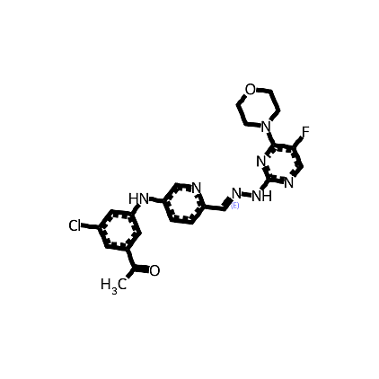 CC(=O)c1cc(Cl)cc(Nc2ccc(/C=N/Nc3ncc(F)c(N4CCOCC4)n3)nc2)c1